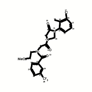 COCCN(CC(=O)N1CC(=O)N(c2cccc(Cl)c2C)C1)C(=O)c1cccc(C(F)(F)F)c1